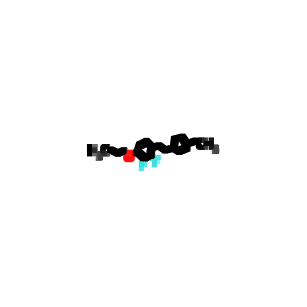 CCCCOc1ccc(CCc2ccc(CC)cc2)c(F)c1F